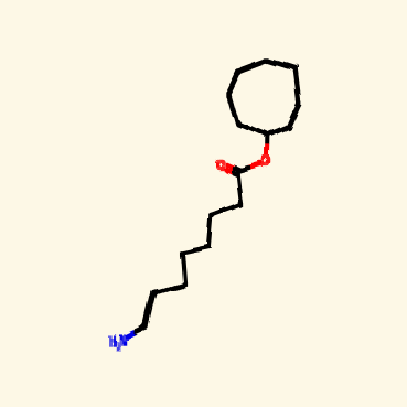 NCCCCCCCC(=O)OC1CCCCCCC1